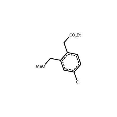 CCOC(=O)Cc1ccc(Cl)cc1COC